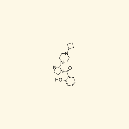 O=C(c1ccccc1O)N1CCN=C1N1CCN(C2CCC2)CC1